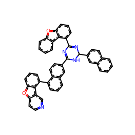 c1ccc2cc(C3N=C(c4cccc5oc6ccccc6c45)N=C(c4ccc5c(-c6cccc7oc8ccncc8c67)cccc5c4)N3)ccc2c1